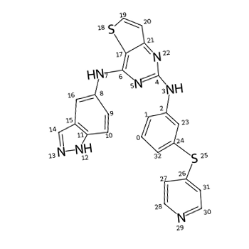 c1cc(Nc2nc(Nc3ccc4[nH]ncc4c3)c3sccc3n2)cc(Sc2ccncc2)c1